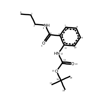 CCCNC(=O)c1ccccc1NC(=O)OC(C)(C)C